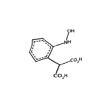 O=C(O)C(C(=O)O)c1ccccc1NO